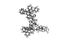 CC(C)(C)OC(=O)CON=C(C(=O)NC1C(=O)N2C(C(=O)OC(c3ccccc3)c3ccccc3)=C(C=CSc3ncccn3)CSC12)c1csc(NC(c2ccccc2)(c2ccccc2)c2ccccc2)n1